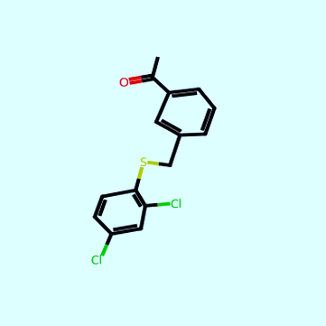 CC(=O)c1cccc(CSc2ccc(Cl)cc2Cl)c1